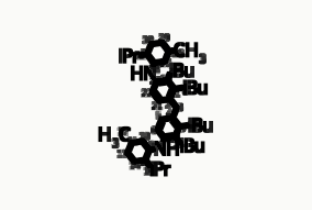 CCC(C)c1c(Cc2ccc(NC3CC(C)CCC3C(C)C)c(C(C)CC)c2C(C)CC)ccc(NC2CC(C)CCC2C(C)C)c1C(C)CC